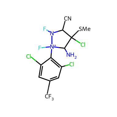 CSC1(Cl)C(C#N)N(F)[N+](F)(c2c(Cl)cc(C(F)(F)F)cc2Cl)C1N